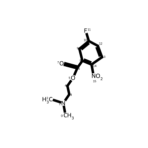 CN(C)CCOC(=O)c1cc(F)ccc1[N+](=O)[O-]